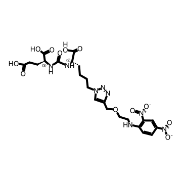 O=C(O)CC[C@H](NC(=O)N[C@@H](CCCCn1cc(COCCNc2ccc([N+](=O)[O-])cc2[N+](=O)[O-])nn1)C(=O)O)C(=O)O